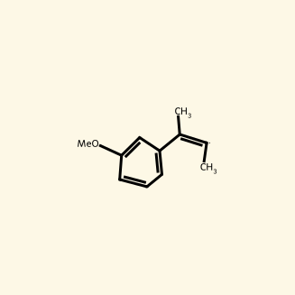 C/[C]=C(/C)c1cccc(OC)c1